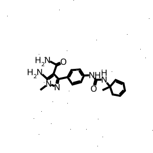 Cn1nc(-c2ccc(NC(=O)NC3(C)C=CC=CC3)cc2)c(C(N)=O)c1N